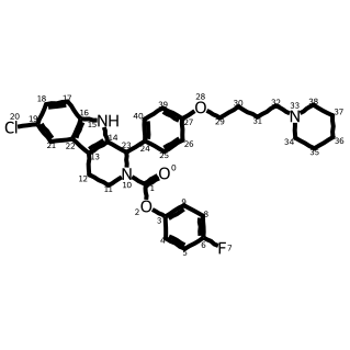 O=C(Oc1ccc(F)cc1)N1CCc2c([nH]c3ccc(Cl)cc23)C1c1ccc(OCCCCN2CCCCC2)cc1